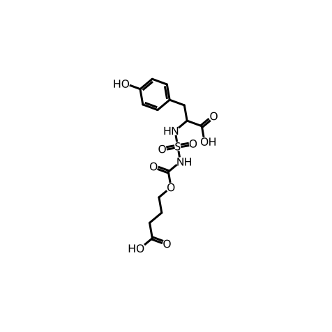 O=C(O)CCCOC(=O)NS(=O)(=O)NC(Cc1ccc(O)cc1)C(=O)O